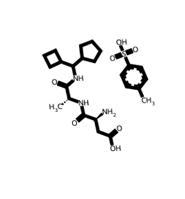 C[C@@H](NC(=O)[C@@H](N)CC(=O)O)C(=O)NC(C1CCCC1)C1CCC1.Cc1ccc(S(=O)(=O)O)cc1